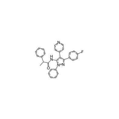 CC(C(=O)Nc1c(-c2ccncc2)c(-c2ccc(F)cc2)nn1-c1ccccc1)c1ccccc1